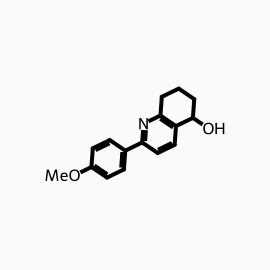 COc1ccc(-c2ccc3c(n2)CCCC3O)cc1